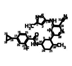 Cc1cc(Nc2nc(C3CC(NC(=O)c4ccc(C5CC5)cc4F)CCC3C)cnc2C#N)sn1